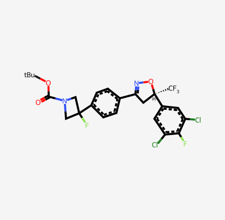 CC(C)(C)OC(=O)N1CC(F)(c2ccc(C3=NO[C@](c4cc(Cl)c(F)c(Cl)c4)(C(F)(F)F)C3)cc2)C1